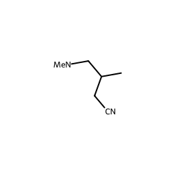 CNCC(C)CC#N